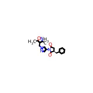 Cc1noc(C)c1Cn1cc(N2C(=O)C[C@@H](Cc3ccccc3)C2=O)cn1